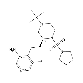 CC(C)(C)N1CCN(S(=O)(=O)N2CCCC2)[C@@H](CCc2c(N)cncc2F)C1